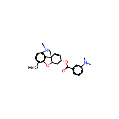 COc1ccc2c3c1OC1C[C@@H](OC(=O)c4cccc(N(C)C)c4)C=C[C@@]31CCN2C